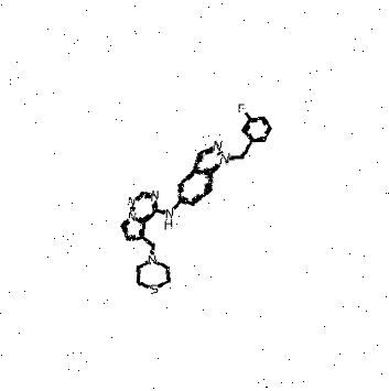 Fc1cccc(Cn2ncc3cc(Nc4ncnn5ccc(CN6CCSCC6)c45)ccc32)c1